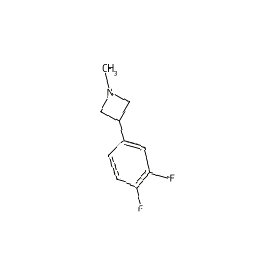 CN1CC(c2ccc(F)c(F)c2)C1